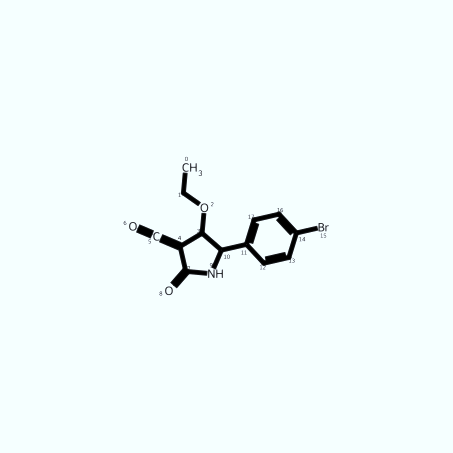 CCOC1C(=C=O)C(=O)NC1c1ccc(Br)cc1